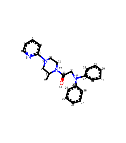 CC1CN(c2ccccn2)CCN1C(=O)CN(c1ccccc1)c1ccccc1